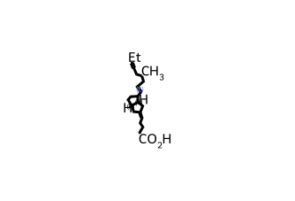 CCC#CCC(C)C/C=C/C1CC[C@@H]2CC(=CCCCC(=O)O)C[C@H]12